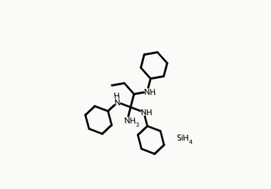 CCC(NC1CCCCC1)C(N)(NC1CCCCC1)NC1CCCCC1.[SiH4]